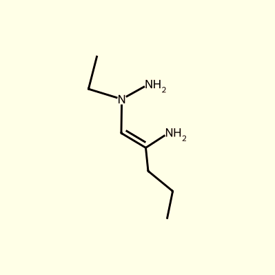 CCC/C(N)=C/N(N)CC